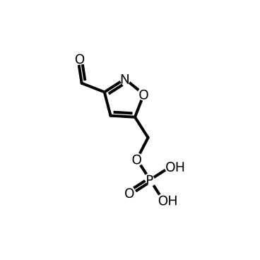 O=Cc1cc(COP(=O)(O)O)on1